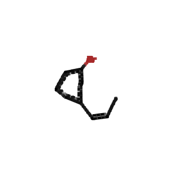 C/C=C\c1cccc(Br)c1